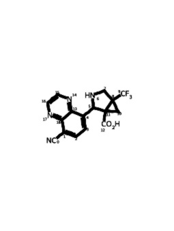 N#Cc1ccc(C2NCC3(C(F)(F)F)CC23C(=O)O)c2nccnc12